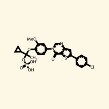 COc1cc(-n2cnc3cc(-c4ccc(Cl)cc4)sc3c2=O)ccc1OC(C)(OP(=O)(O)O)C1CC1